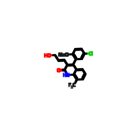 COc1ccc(Cl)cc1-c1c(C=CCO)c(=O)[nH]c2c(C(F)(F)F)cccc12